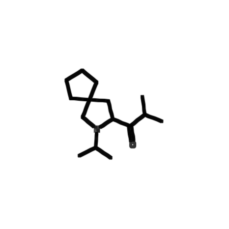 CC(C)C(=O)C1CC2(CCCC2)CN1C(C)C